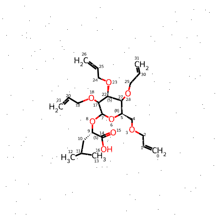 C=CCOC[C@H]1OC(O[C@@H](CC(C)C)C(=O)O)C(OCC=C)[C@@H](OCC=C)C1OCC=C